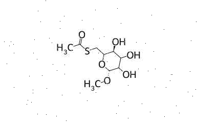 CO[C@@H]1OC(CSC(C)=O)[C@@H](O)C(O)C1O